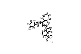 NC(=O)c1cccn2c(-c3nc4c(c(NCc5cccc(F)c5)n3)COCCC4)ncc12